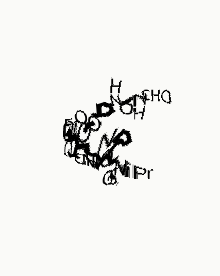 CC[C@@]1(OC(=O)OCc2ccc(NC(=O)CNC=O)cc2)C(=O)OCC(C=O)=C1/C=C1/c2nc3ccccc3c(CCN(C(C)C)[S+](C)[O-])c2CN1C